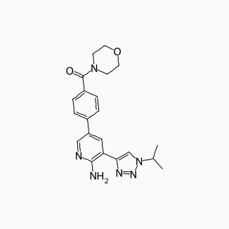 CC(C)n1cc(-c2cc(-c3ccc(C(=O)N4CCOCC4)cc3)cnc2N)nn1